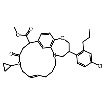 CCCc1cc(Cl)ccc1C1COc2ccc3cc2N(CCC/C=C/CN(C2CC2)C(=O)CC3C(=O)OC)C1